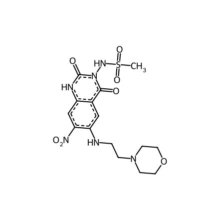 CS(=O)(=O)Nn1c(=O)[nH]c2cc([N+](=O)[O-])c(NCCN3CCOCC3)cc2c1=O